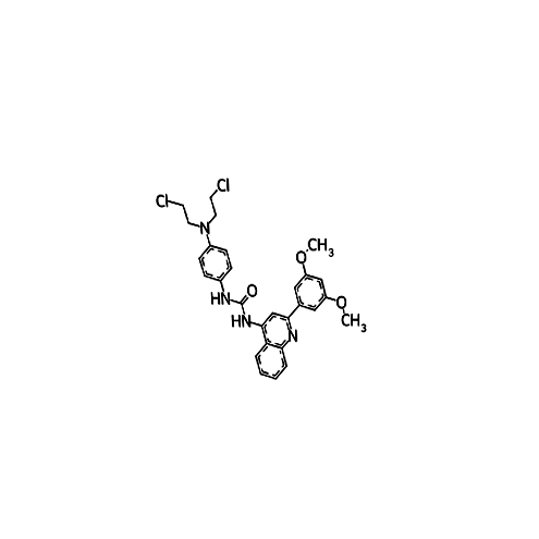 COc1cc(OC)cc(-c2cc(NC(=O)Nc3ccc(N(CCCl)CCCl)cc3)c3ccccc3n2)c1